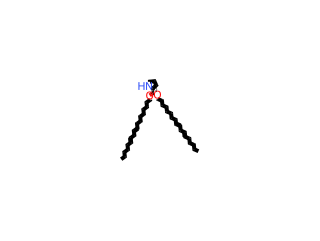 CCCCCC=CCC=CCCCCCCCCOC(OCCCCCCCCC=CCC=CCCCCC)[C@H]1CCCN1